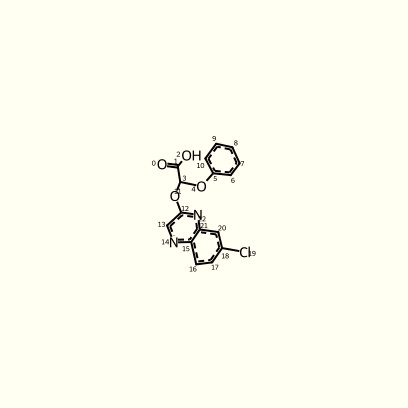 O=C(O)C(Oc1ccccc1)Oc1cnc2ccc(Cl)cc2n1